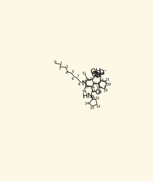 CCCCCCCCCN1C(C)=C(C(=O)O)C(c2ccccc2[N+](=O)[O-])C(C(=O)NC2CCCC2)=C1C